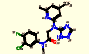 Cc1cc(C(F)(F)F)cc(N(CC(=O)N(C)c2ccc(F)c(Cl)c2)c2ncn[nH]2)n1